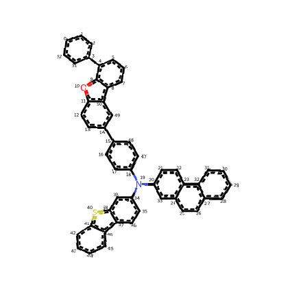 c1ccc(-c2cccc3c2oc2ccc(-c4ccc(N(c5ccc6c(ccc7ccccc76)c5)c5ccc6c(c5)sc5ccccc56)cc4)cc23)cc1